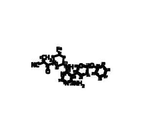 C=C(C#N)C(=O)N1C[C@@H](F)C[C@H](Nc2ncnc(N)c2-c2ccc(Oc3ccccc3)cc2)C1